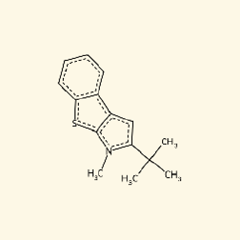 Cn1c(C(C)(C)C)cc2c3ccccc3sc21